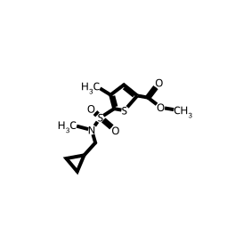 COC(=O)c1cc(C)c(S(=O)(=O)N(C)CC2CC2)s1